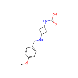 COc1ccc(CNC2CC(NC(=O)O)C2)cc1